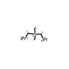 CC(C)CS(C)(C)CC(C)C